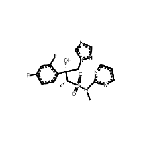 C[C@H]([C@](O)(Cn1cncn1)c1ccc(F)cc1F)S(=O)(=O)N(C)c1ncccn1